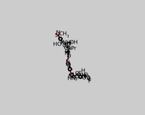 Cc1ncsc1-c1ccc([C@H](CO)NC(=O)[C@@H]2C[C@@H](O)CN2C(=O)[C@H](c2cc(OCCCN3CCN(c4ccc(-c5cnc6[nH]cc(C(=O)c7c(F)ccc(NS(=O)(=O)N8CC[C@@H](F)C8)c7F)c6c5)cc4)CC3)no2)C(C)C)cc1